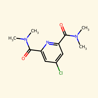 CN(C)C(=O)c1cc(Cl)cc(C(=O)N(C)C)n1